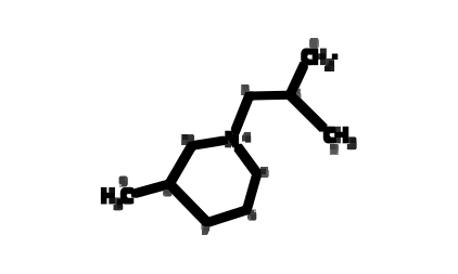 [CH2]C(C)CN1CCCC(C)C1